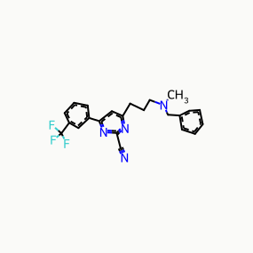 CN(CCCc1cc(-c2cccc(C(F)(F)F)c2)nc(C#N)n1)Cc1ccccc1